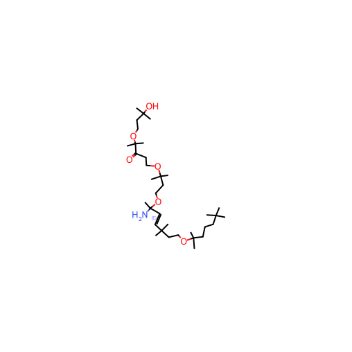 CC(C)(C)CCCC(C)(C)OCCC(C)(C)/C=C/C(C)(N)OCCC(C)(C)OCCC(=O)C(C)(C)OCCC(C)(C)O